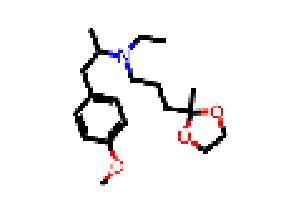 CCN(CCCC1(C)OCCO1)C(C)Cc1ccc(OC)cc1